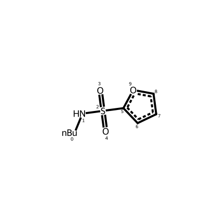 CCCCNS(=O)(=O)c1ccco1